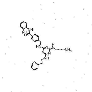 CCCCNc1nc(NCCc2ccccc2)nc(NCc2ccc(C(=O)Nc3ccccc3N)cc2)n1